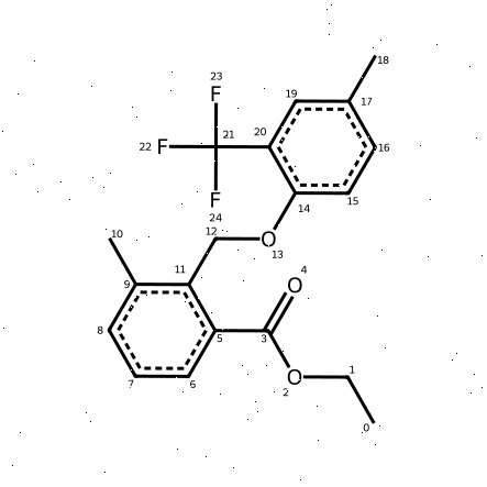 CCOC(=O)c1cccc(C)c1COc1ccc(C)cc1C(F)(F)F